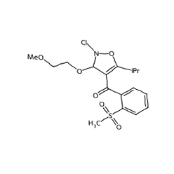 COCCOC1C(C(=O)c2ccccc2S(C)(=O)=O)=C(C(C)C)ON1Cl